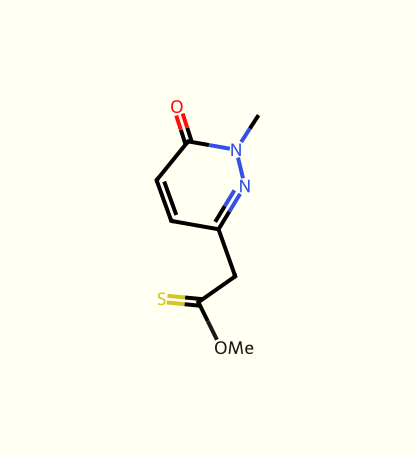 COC(=S)Cc1ccc(=O)n(C)n1